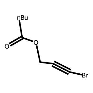 CCCCC(=O)OCC#CBr